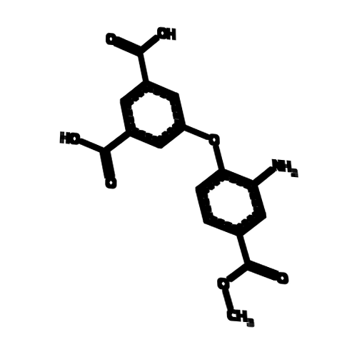 COC(=O)c1ccc(Oc2cc(C(=O)O)cc(C(=O)O)c2)c(N)c1